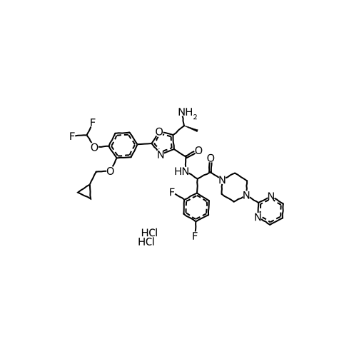 C[C@H](N)c1oc(-c2ccc(OC(F)F)c(OCC3CC3)c2)nc1C(=O)NC(C(=O)N1CCN(c2ncccn2)CC1)c1ccc(F)cc1F.Cl.Cl